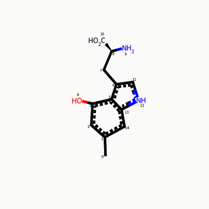 Cc1cc(O)c2c(C[C@H](N)C(=O)O)c[nH]c2c1